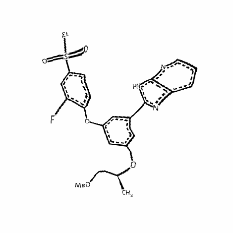 CCS(=O)(=O)c1ccc(Oc2cc(O[C@@H](C)COC)cc(-c3nc4cccnc4[nH]3)c2)c(F)c1